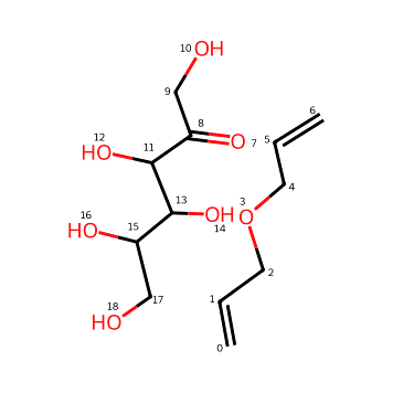 C=CCOCC=C.O=C(CO)C(O)C(O)C(O)CO